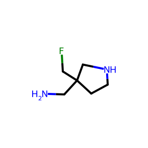 NCC1(CF)CCNC1